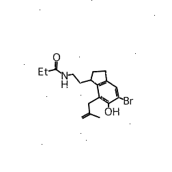 C=C(C)Cc1c(O)c(Br)cc2c1C(CCNC(=O)CC)CC2